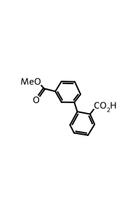 COC(=O)c1cccc(-c2ccccc2C(=O)O)c1